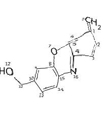 C=c1ccc2c(c1)Oc1cc(CO)ccc1N=2